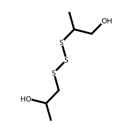 CC(O)CSSSC(C)CO